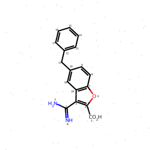 N=C(N)c1c(C(=O)O)oc2ccc(Cc3ccccc3)cc12